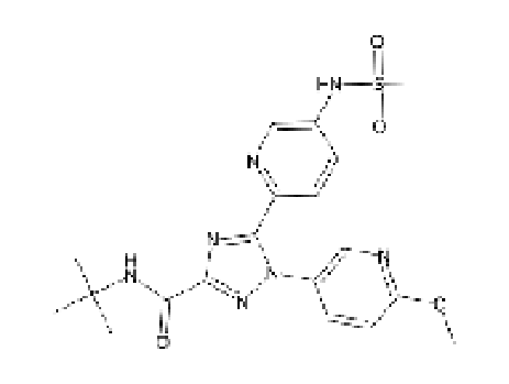 COc1ccc(-n2nc(C(=O)NC(C)(C)C)nc2-c2ccc(NS(C)(=O)=O)cn2)cn1